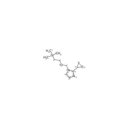 C[Si](C)(C)CCOCn1ccnc1C1CO1